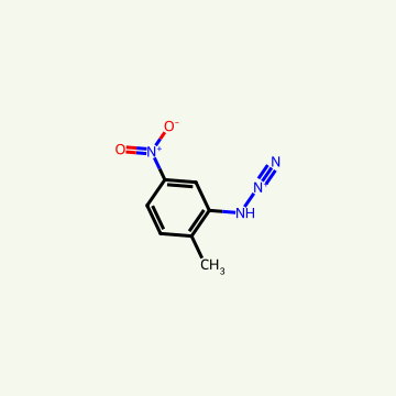 Cc1ccc([N+](=O)[O-])cc1N[N+]#N